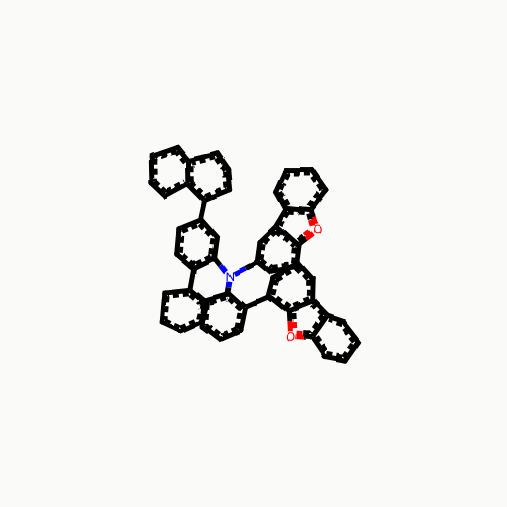 c1ccc(-c2ccc(-c3cccc4ccccc34)cc2N(c2ccc3oc4ccccc4c3c2)c2ccccc2-c2cccc3c2oc2ccccc23)cc1